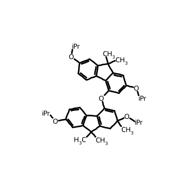 CC(C)Oc1ccc2c(c1)C(C)(C)C1=C2C(Oc2cc(OC(C)C)cc3c2-c2ccc(OC(C)C)cc2C3(C)C)=CC(C)(OC(C)C)C1